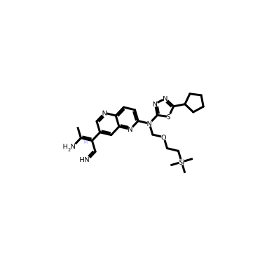 C/C(N)=C(/C=N)c1cnc2ccc(N(COCC[Si](C)(C)C)c3nnc(C4CCCC4)s3)nc2c1